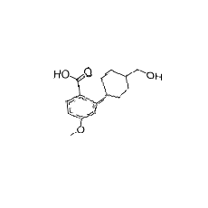 COc1ccc(C(=O)O)c(C2CCC(CO)CC2)c1